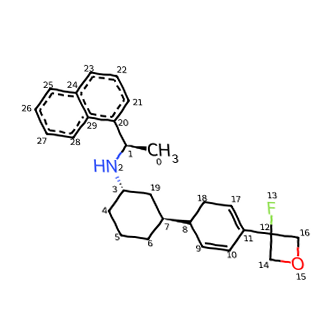 C[C@@H](N[C@H]1CCC[C@H](C2C=CC(C3(F)COC3)=CC2)C1)c1cccc2ccccc12